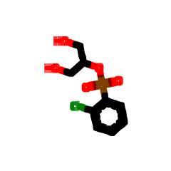 O=S(=O)(OC(CO)CO)c1ccccc1Cl